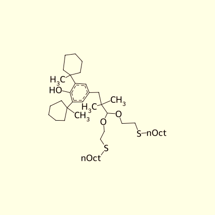 CCCCCCCCSCCOC(OCCSCCCCCCCC)C(C)(C)Cc1cc(C2(C)CCCCC2)c(O)c(C2(C)CCCCC2)c1